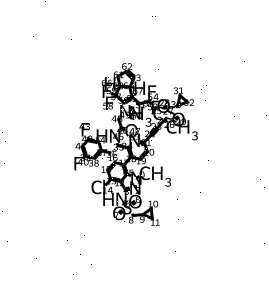 Cn1nc(NS(=O)(=O)CC2CC2)c2c(Cl)ccc(-c3ccc(C#CC(C)(C)S(=O)(=O)C4CC4)nc3[C@H](Cc3cc(F)cc(F)c3)NC(=O)Cn3nc(C(F)F)c4c3C(F)(F)[C@@H]3CC#C[C@H]43)c21